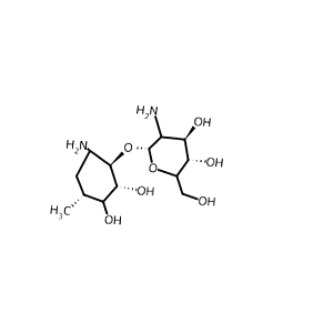 C[C@@H]1CC(N)[C@@H](O[C@H]2OC(CO)[C@@H](O)[C@H](O)C2N)[C@H](O)C1O